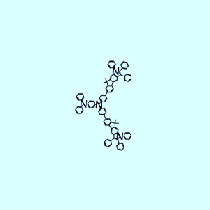 CC1(C)c2cc(-c3ccc(N(c4ccc(-c5ccc6c(c5)C(C)(C)c5cc7c(cc5-6)c(-c5ccccc5)c(-c5ccccc5)n7-c5ccccc5)cc4)c4ccc(N(c5ccccc5)c5ccccc5)cc4)cc3)ccc2-c2cc3c(-c4ccccc4)c(-c4ccccc4)n(-c4ccccc4)c3cc21